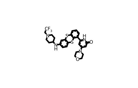 O=c1cc(N2CCOCC2)cc(-c2cccc3c2Sc2ccc(NC4CCN(CC(F)(F)F)CC4)cc2S3)[nH]1